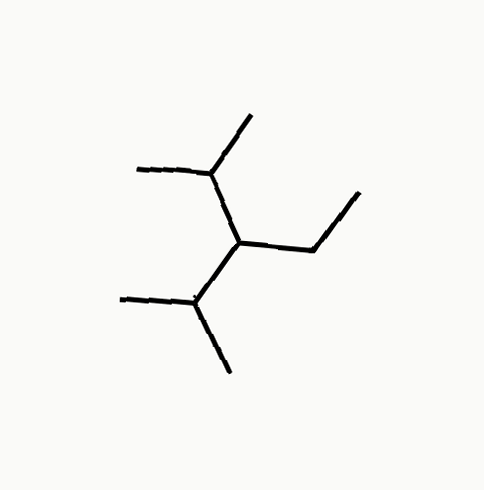 CCC([C](C)C)C(C)C